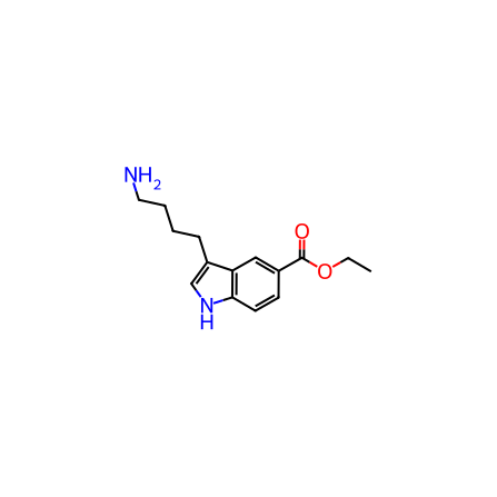 CCOC(=O)c1ccc2[nH]cc(CCCCN)c2c1